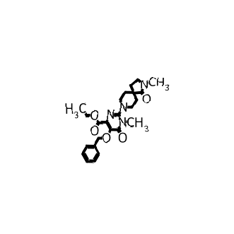 CCOC(=O)c1nc(N2CCC3(CCN(C)C3=O)CC2)n(C)c(=O)c1OCc1ccccc1